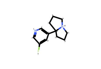 Fc1cncc(C23CCCN2CCC3)c1